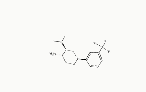 CN(C)[C@H]1C[C@@H](c2cccc(C(F)(F)F)c2)CC[C@@H]1N